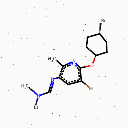 CCC(C)[C@H]1CC[C@@H](Oc2nc(C)c(/N=C/N(C)CC)cc2Br)CC1